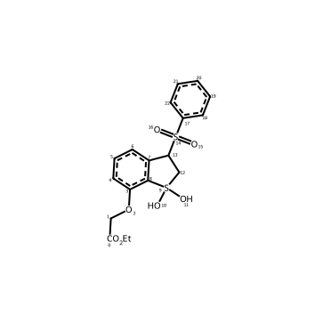 CCOC(=O)COc1cccc2c1S(O)(O)CC2S(=O)(=O)c1ccccc1